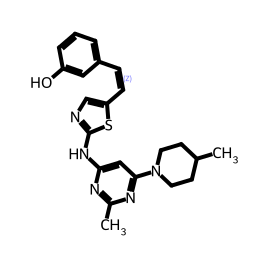 Cc1nc(Nc2ncc(/C=C\c3cccc(O)c3)s2)cc(N2CCC(C)CC2)n1